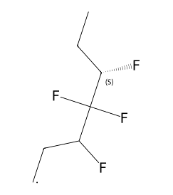 [CH2]CC(F)C(F)(F)[C@@H](F)CC